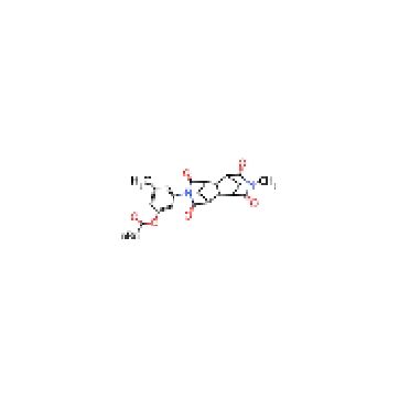 CCCCC(=O)Oc1cc(C)cc(N2C(=O)C3CC(C2=O)C2C4CC(C(=O)N(C)C4=O)C32)c1